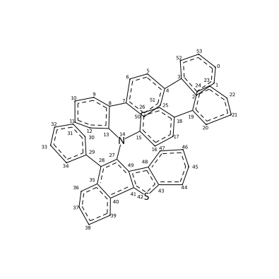 c1ccc(-c2ccc(-c3ccccc3N(c3ccc(-c4ccccc4)cc3)c3c(-c4ccccc4)c4ccccc4c4sc5ccccc5c34)cc2)cc1